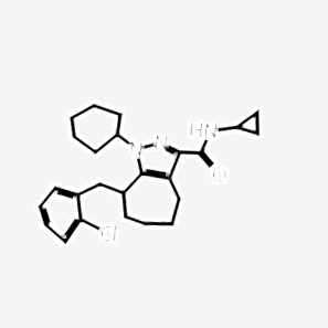 O=C(NC1CC1)c1nn(C2CCCCC2)c2c1CCCCC2Cc1ccccc1Cl